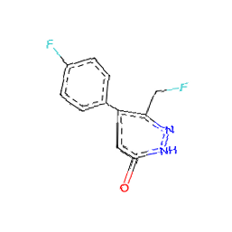 O=c1cc(-c2ccc(F)cc2)c(CF)n[nH]1